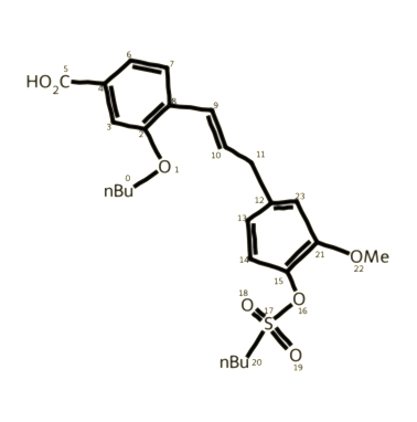 CCCCOc1cc(C(=O)O)ccc1/C=C/Cc1ccc(OS(=O)(=O)CCCC)c(OC)c1